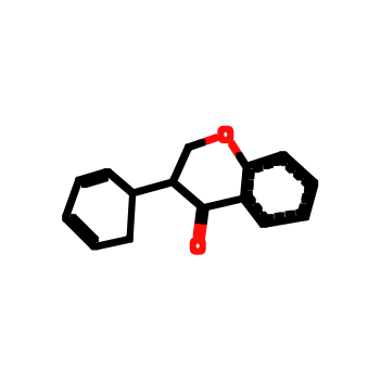 O=C1c2ccccc2OCC1C1C=CC=CC1